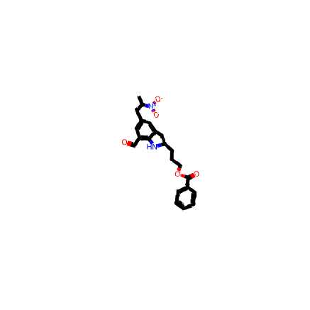 CC(Cc1cc(C=O)c2c(c1)CC(CCCOC(=O)c1ccccc1)N2)[N+](=O)[O-]